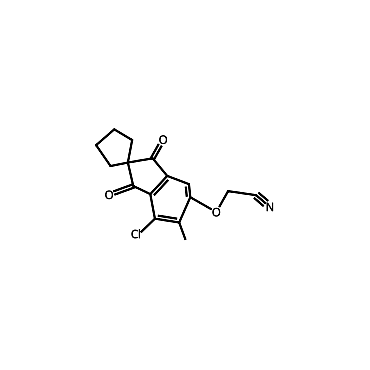 Cc1c(OCC#N)cc2c(c1Cl)C(=O)C1(CCCC1)C2=O